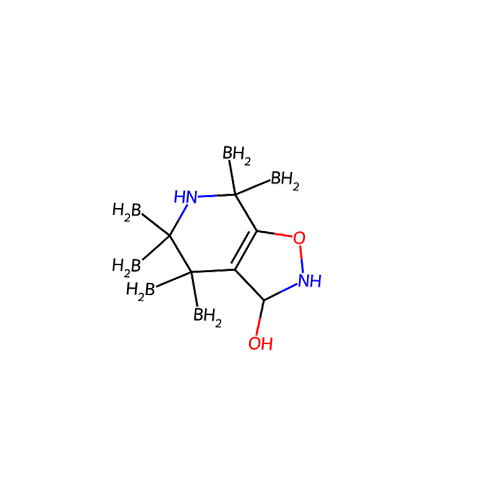 BC1(B)NC(B)(B)C(B)(B)C2=C1ONC2O